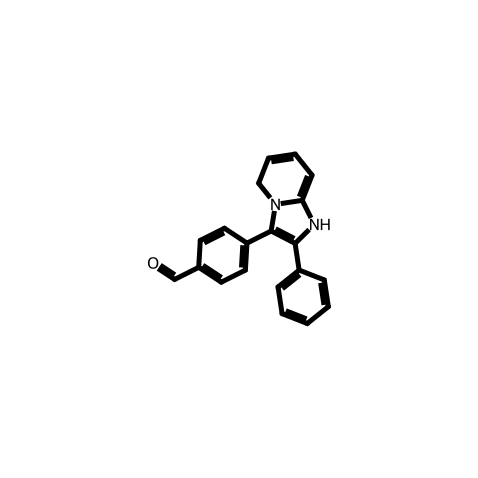 O=Cc1ccc(C2=C(c3ccccc3)NC3=CC=CCN32)cc1